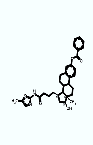 Cc1cnc(NC(=O)CCC[C@@H]2C[C@H](O)[C@@]3(C)CCC4c5ccc(OC(=O)c6ccccc6)cc5CCC4C23)s1